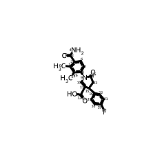 Cc1c(C(N)=O)ccc(N2C=C(C(=O)O)C(c3ccc(F)cc3)CC2=O)c1C